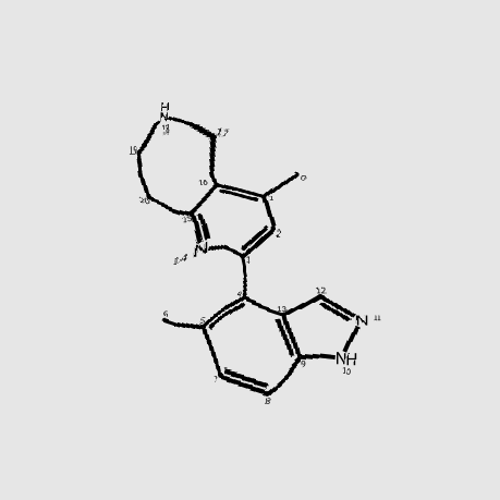 Cc1cc(-c2c(C)ccc3[nH]ncc23)nc2c1CNCC2